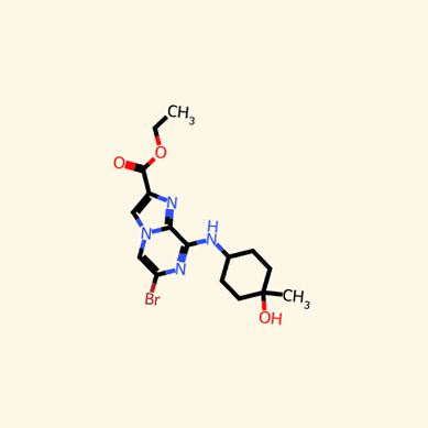 CCOC(=O)c1cn2cc(Br)nc(NC3CCC(C)(O)CC3)c2n1